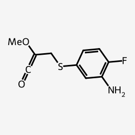 COC(=C=O)CSc1ccc(F)c(N)c1